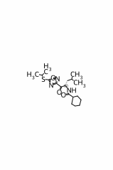 CC(C)C[C@H](NC(=O)C1CCCCC1)C(=O)c1noc(SC(C)C)n1